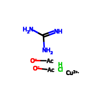 CC(=O)[O-].CC(=O)[O-].Cl.N=C(N)N.[Cu+2]